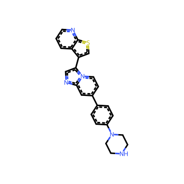 c1cnc2scc(-c3cnc4cc(-c5ccc(N6CCNCC6)cc5)ccn34)c2c1